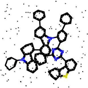 C1=CC(n2c3ccccc3c3c(-c4cccc5c4c4ccc(-c6ccccc6)cc4n5-c4cc(-c5ccccc5)ccc4-c4nc(-c5ccccc5)nc(-c5cccc6sc7ccccc7c56)n4)cccc32)=CCC1